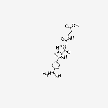 N=C(N)c1ccc(-c2nc3ncn(CC(=O)NCCC(=O)O)c(=O)c3[nH]2)cc1